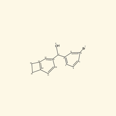 OC(c1cccc(Br)c1)c1ccc2c(c1)CC2